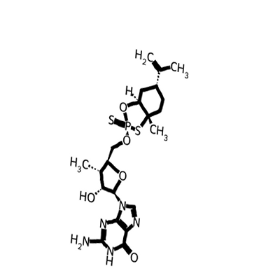 C=C(C)[C@@H]1CC[C@]2(C)S[P@@](=S)(OC[C@H]3O[C@@H](n4cnc5c(=O)[nH]c(N)nc54)[C@H](O)[C@@H]3C)O[C@H]2C1